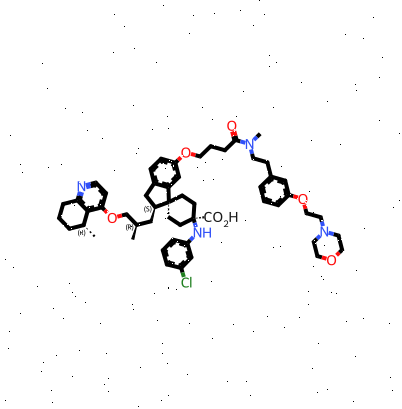 C[C@@H](COc1ccnc2c1[C@H](C)CCC2)C[C@H]1Cc2ccc(OCCCC(=O)N(C)CCc3cccc(OCCN4CCOCC4)c3)cc2[C@]12CC[C@@](Nc1cccc(Cl)c1)(C(=O)O)CC2